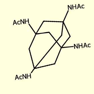 CC(=O)NC12CC3(NC(C)=O)CC(NC(C)=O)(C1)CC(NC(C)=O)(C2)C3